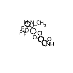 CCC(N)C1(c2ccccc2OC(F)(F)F)CCC(Oc2cc3cc[nH]c(=O)c3cc2Cl)CC1